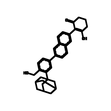 O=C1CCCC(O)=C1c1ccc2cc(-c3ccc(CO)c(C45CC6CC(CC(C6)C4)C5)c3)ccc2c1